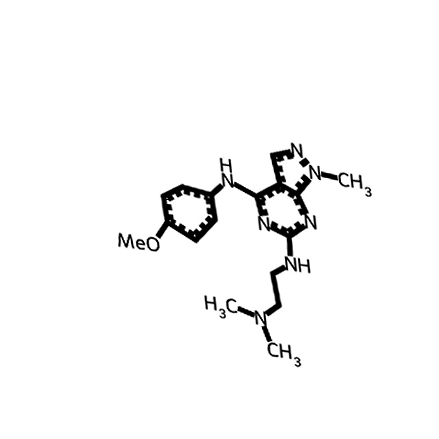 COc1ccc(Nc2nc(NCCN(C)C)nc3c2cnn3C)cc1